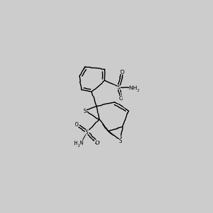 NS(=O)(=O)c1ccccc1C12C=CC3SC3C1(S(N)(=O)=O)S2